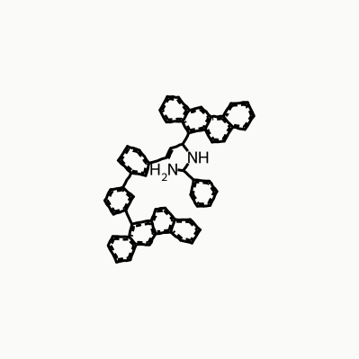 NC(NC(/C=C/c1cccc(-c2cccc(-c3c4ccccc4cc4c3ccc3ccccc34)c2)c1)c1c2ccccc2cc2c1ccc1ccccc12)c1ccccc1